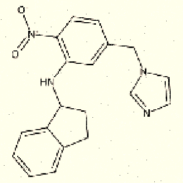 O=[N+]([O-])c1ccc(Cn2ccnc2)cc1NC1CCc2ccccc21